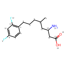 CC(CCCc1ccc(F)cc1F)CC(N)CC(=O)O